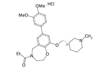 CCC(=O)N1CCOc2c(cc(-c3ccc(OC)c(OC)c3)cc2OC[C@H]2CCCN(C)C2)C1.Cl